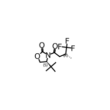 C[C@H](CC(=O)N1C(=O)OC[C@@H]1C(C)(C)C)C(F)(F)F